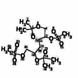 CC1(C)OCC(OS(C)(=O)=O)[C@H]([C@@H]2OC(C)(C)OC2COS(C)(=O)=O)O1